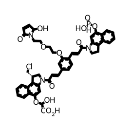 O=C(O)C(O)Oc1cc2c(c3ccccc13)[C@H](CCl)CN2C(=O)/C=C/c1ccc(/C=C/C(=O)N2CCc3c2cc(O[PH](=O)O)c2ccccc32)c(OCCOCCN2C(=O)C=CC2O)c1